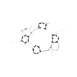 COc1cc2c3cc1Oc1cc(ccc1O)C[C@H]1c4c(cc(OC)c(O)c4Oc4ccc(cc4)C[C@@H]3N(C)CC2)CCN1C